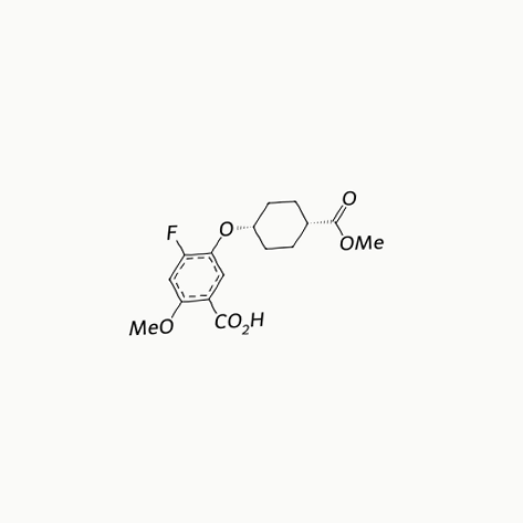 COc1cc(F)c(O[C@H]2CC[C@@H](C(=O)OC)CC2)cc1C(=O)O